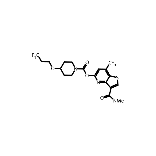 CNC(=O)c1csc2c(C(F)(F)F)cc(OC(=O)N3CCC(OCCC(F)(F)F)CC3)nc12